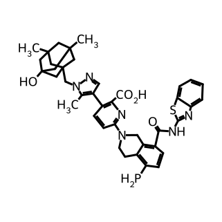 Cc1c(-c2ccc(N3CCc4c(P)ccc(C(=O)Nc5nc6ccccc6s5)c4C3)nc2C(=O)O)cnn1CC12CC3(C)CC(C)(CC(O)(C3)C1)C2